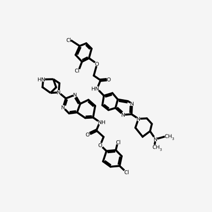 CN(C)C1CCN(c2ncc3cc(NC(=O)COc4ccc(Cl)cc4Cl)ccc3n2)CC1.O=C(COc1ccc(Cl)cc1Cl)Nc1ccc2nc(N3CC4CC3CN4)ncc2c1